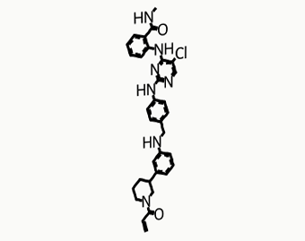 C=CC(=O)N1CCCC(c2cccc(NCc3ccc(Nc4ncc(Cl)c(Nc5ccccc5C(=O)NC)n4)cc3)c2)C1